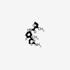 Cc1ccoc1C(=O)Nc1ccc(F)c([C@]2(C)CCSC(N)=N2)c1